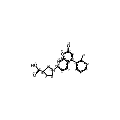 Cc1ccccc1-c1cc(=O)oc2nc(N3CCC(C(=O)O)C3)ccc12